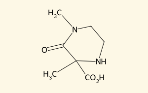 CN1CCNC(C)(C(=O)O)C1=O